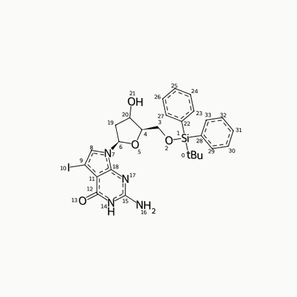 CC(C)(C)[Si](OC[C@H]1O[C@@H](n2cc(I)c3c(=O)[nH]c(N)nc32)CC1O)(c1ccccc1)c1ccccc1